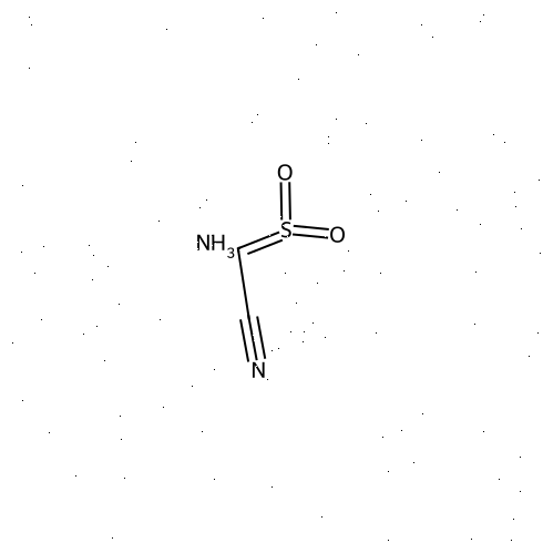 N.N#CC=S(=O)=O